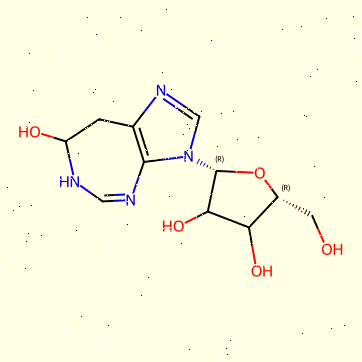 OC[C@H]1O[C@@H](n2cnc3c2N=CNC(O)C3)C(O)C1O